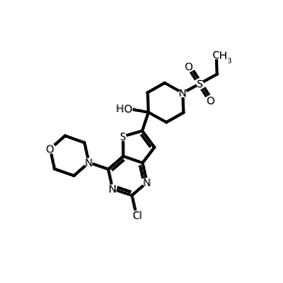 CCS(=O)(=O)N1CCC(O)(c2cc3nc(Cl)nc(N4CCOCC4)c3s2)CC1